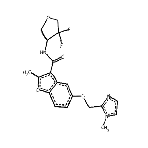 Cc1oc2ccc(OCc3nccn3C)cc2c1C(=O)NC1COCC1(F)F